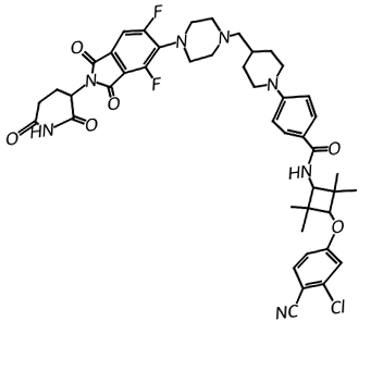 CC1(C)C(NC(=O)c2ccc(N3CCC(CN4CCN(c5c(F)cc6c(c5F)C(=O)N(C5CCC(=O)NC5=O)C6=O)CC4)CC3)cc2)C(C)(C)C1Oc1ccc(C#N)c(Cl)c1